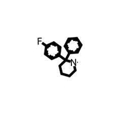 Fc1ccc(C2(c3ccccc3)CCCC[N]2)cc1